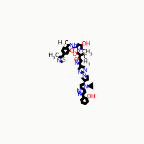 Cc1ncsc1-c1ccc([C@H](C)NC(=O)[C@@H]2C[C@@H](O)CN2C(=O)C(c2cc(-c3cnc(N4CC[C@@H](c5cc6nnc(-c7ccccc7O)cc6n5C5CC5)C4)nc3)no2)C(C)C)cc1